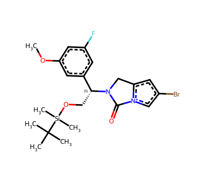 COc1cc(F)cc([C@@H](CO[Si](C)(C)C(C)(C)C)N2Cc3cc(Br)cn3C2=O)c1